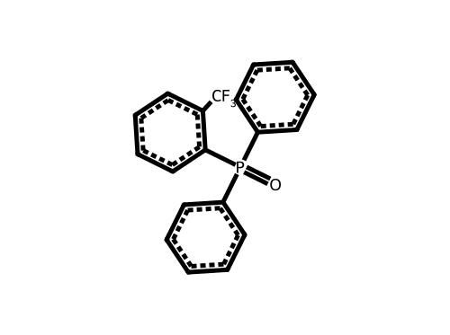 O=P(c1ccccc1)(c1ccccc1)c1ccccc1C(F)(F)F